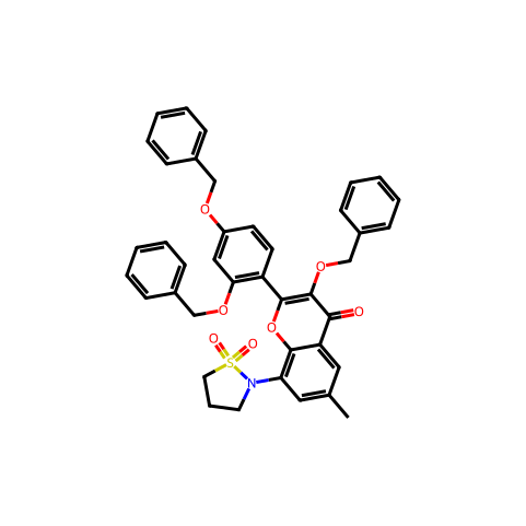 Cc1cc(N2CCCS2(=O)=O)c2oc(-c3ccc(OCc4ccccc4)cc3OCc3ccccc3)c(OCc3ccccc3)c(=O)c2c1